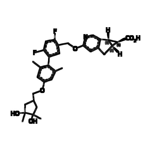 Cc1cc(OCC2CC(C)(O)C(C)(O)C2)cc(C)c1-c1cc(COc2cc3c(cn2)[C@H]2[C@@H](C3)[C@@H]2C(=O)O)c(F)cc1F